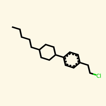 CCCCCC1CCC(c2ccc(CCCl)cc2)CC1